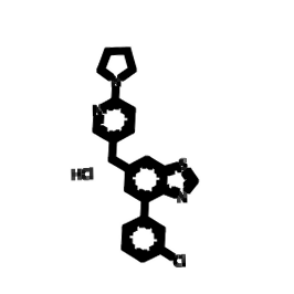 Cl.Clc1cccc(-c2cc(Cc3ccc(N4CCCC4)nc3)cc3scnc23)c1